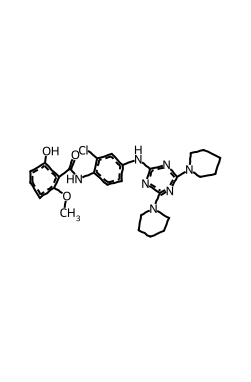 COc1cccc(O)c1C(=O)Nc1ccc(Nc2nc(N3CCCCC3)nc(N3CCCCC3)n2)cc1Cl